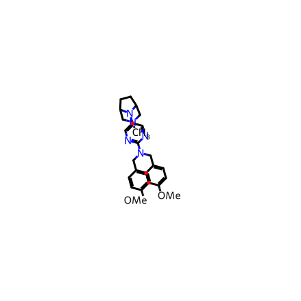 COc1ccc(CN(Cc2ccc(OC)cc2)c2ncc(N3C4CCC3CN(C)C4)cn2)cc1